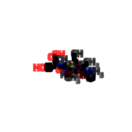 C#CCCCON(C(=O)[C@@H](NC(=O)[C@H]1CCCCN1C)[C@@H](C)CC)[C@H](C[C@@H](OC(C)=O)c1nc(C(=O)N[C@@H](Cc2ccc(O)cc2)C[C@H](C)C(=O)O)cs1)C(C)C